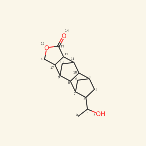 CC(O)C1CC2CC1C1C3CC(C4C(=O)OCC34)C21